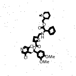 COc1ccc([C@H](Cc2c(Cl)cncc2Cl)OC(=O)c2ccc(CNC(C(=O)OCC3CCCCN3C)c3ccccc3)s2)cc1OC